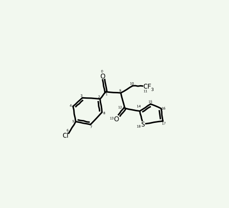 O=C(c1ccc(Cl)cc1)C(CC(F)(F)F)C(=O)c1cccs1